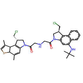 CC1=CC2=C(C3C(C)=CSC13)[C@H](CCl)CN2C(=O)CNCC(=O)N1C[C@@H](CCl)c2c1cc(NC(C)(C)C)c1ccccc21